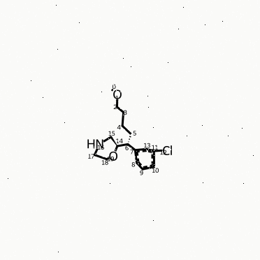 COCCCC[C@H](c1cccc(Cl)c1)[C@@H]1CNCCO1